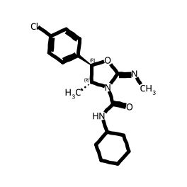 CN=C1O[C@H](c2ccc(Cl)cc2)[C@@H](C)N1C(=O)NC1CCCCC1